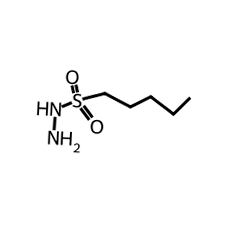 CCCCCS(=O)(=O)NN